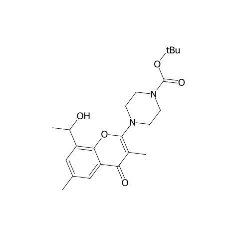 Cc1cc(C(C)O)c2oc(N3CCN(C(=O)OC(C)(C)C)CC3)c(C)c(=O)c2c1